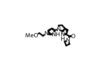 COCCN1c2cc(N3CCc4cc(C(=O)N5CCC5)[nH]c43)[nH]c21